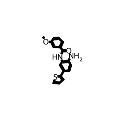 COc1cccc(C(=O)Nc2cc(-c3cccs3)ccc2N)c1